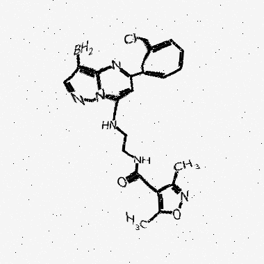 Bc1cnn2c(NCCNC(=O)c3c(C)noc3C)cc(-c3ccccc3Cl)nc12